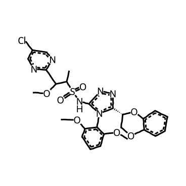 COc1cccc(OC)c1-n1c(NS(=O)(=O)C(C)C(OC)c2ncc(Cl)cn2)nnc1[C@H]1COc2ccccc2O1